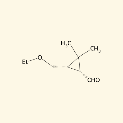 CCOC[C@H]1[C@@H](C=O)C1(C)C